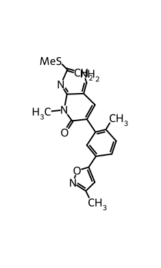 C=C(/N=C1\C(=C/N)C=C(c2cc(-c3cc(C)no3)ccc2C)C(=O)N1C)SC